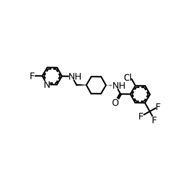 O=C(N[C@H]1CC[C@H](CNc2ccc(F)nc2)CC1)c1cc(C(F)(F)F)ccc1Cl